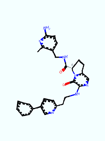 Cc1nc(N)ccc1CNC(=O)[C@@H]1CCc2cnc(NCCc3ccc(-c4ccccc4)cn3)c(=O)n21